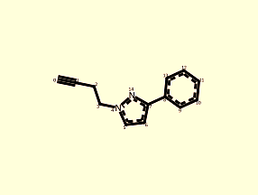 C#CCCn1ccc(-c2ccccc2)n1